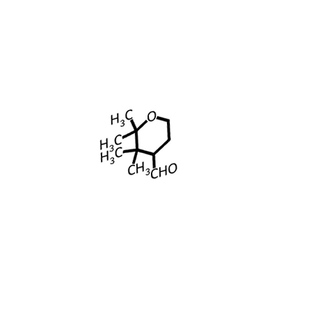 CC1(C)OCCC(C=O)C1(C)C